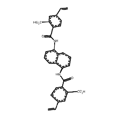 C=Cc1ccc(C(=O)Nc2cccc3c(NC(=O)c4ccc(C=C)cc4C(=O)O)cccc23)c(C(=O)O)c1